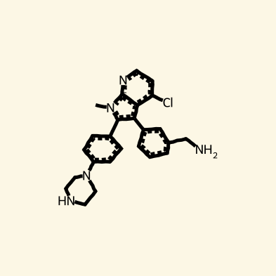 Cn1c(-c2ccc(N3CCNCC3)cc2)c(-c2cccc(CN)c2)c2c(Cl)ccnc21